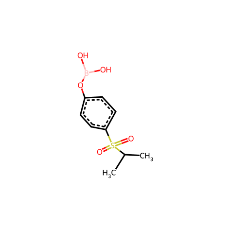 CC(C)S(=O)(=O)c1ccc(OB(O)O)cc1